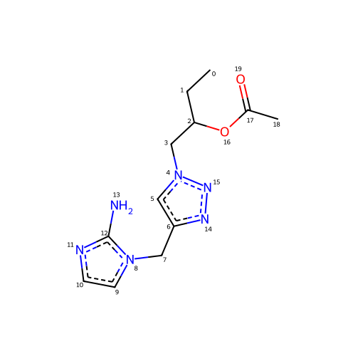 CCC(Cn1cc(Cn2ccnc2N)nn1)OC(C)=O